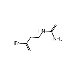 C=C(N)NCCC(=C)C(C)C